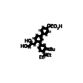 CCN(CC)c1ccc(-c2cc(-c3ccc(OC(=O)O)cc3)ccc2CC(O)CO)cc1C(C)(C)C